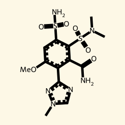 COc1cc(S(N)(=O)=O)c(S(=O)(=O)N(C)C)c(C(N)=O)c1-c1ncn(C)n1